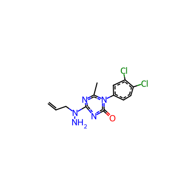 C=CCN(N)c1nc(C)n(-c2ccc(Cl)c(Cl)c2)c(=O)n1